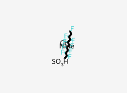 CNC.O=S(=O)(O)CC(F)C(F)C(F)C(F)C(F)C(F)C(F)C(F)CCF